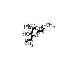 COCCOCCOC.OCCO.[Na+].[OH-]